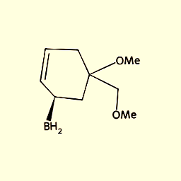 B[C@H]1C=CCC(COC)(OC)C1